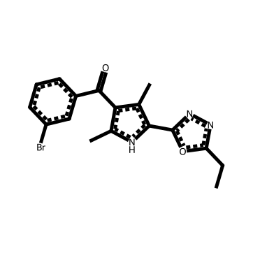 CCc1nnc(-c2[nH]c(C)c(C(=O)c3cccc(Br)c3)c2C)o1